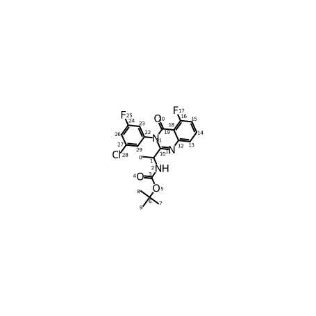 CC(NC(=O)OC(C)(C)C)c1nc2cccc(F)c2c(=O)n1-c1cc(F)cc(Cl)c1